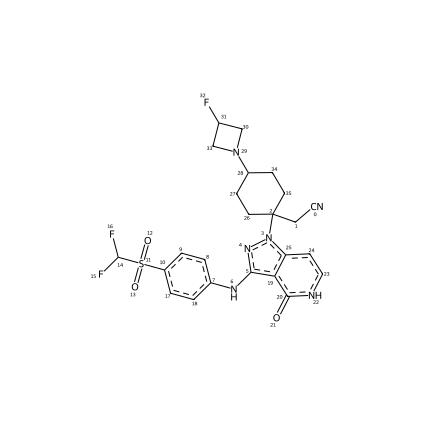 N#CCC1(n2nc(Nc3ccc(S(=O)(=O)C(F)F)cc3)c3c(=O)[nH]ccc32)CCC(N2CC(F)C2)CC1